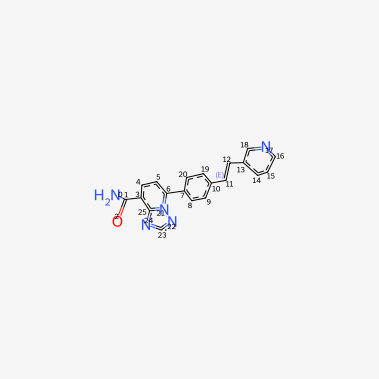 NC(=O)c1ccc(-c2ccc(/C=C/c3cccnc3)cc2)n2n[c]nc12